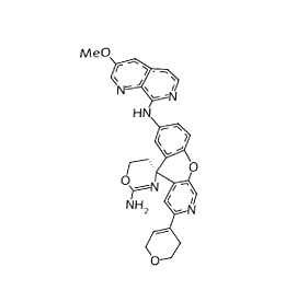 COc1cnc2c(Nc3ccc4c(c3)[C@@]3(CCOC(N)=N3)c3cc(C5=CCOCC5)ncc3O4)nccc2c1